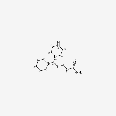 NC(=O)OCC=C(N1CCCCC1)N1CCNCC1